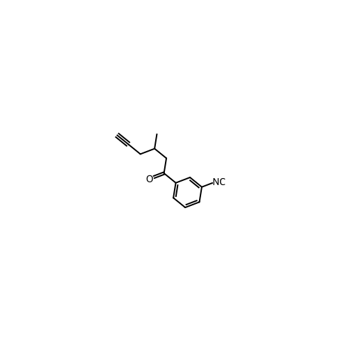 [C-]#[N+]c1cccc(C(=O)CC(C)CC#C)c1